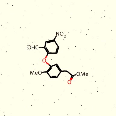 COC(=O)Cc1ccc(OC)c(Oc2ccc([N+](=O)[O-])cc2C=O)c1